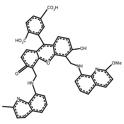 COc1ccc2cccc(NCc3c(O)ccc4c(-c5cc(C(=O)O)ccc5C(=O)O)c5ccc(=O)c(CNc6cccc7ccc(C)nc67)c-5oc34)c2n1